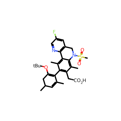 CC1=CC(C)CC(OC(C)(C)C)=C1c1c(C)c2c(c(C)c1CC(=O)O)N(S(C)(=O)=O)Cc1cc(F)cnc1-2